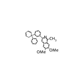 COc1cc2cc(-c3cccc(C4(c5ccccc5)C=CC=CC4)c3)nc(C)c2cc1OC